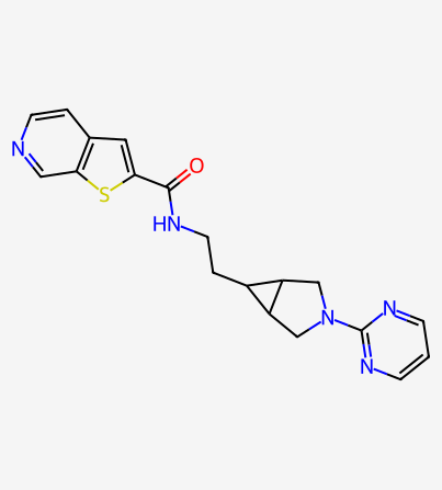 O=C(NCCC1C2CN(c3ncccn3)CC12)c1cc2ccncc2s1